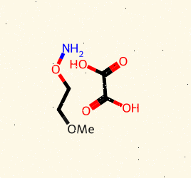 COCCON.O=C(O)C(=O)O